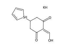 O=C1CC([SH]2C=CC=C2)CC(=O)C1=CO.[KH]